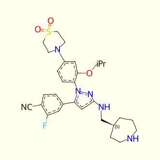 CC(C)Oc1cc(N2CCS(=O)(=O)CC2)ccc1-n1nc(NC[C@H]2CCCNCC2)cc1-c1ccc(C#N)c(F)c1